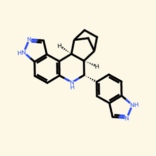 c1cc2[nH]ncc2cc1[C@@H]1Nc2ccc3[nH]ncc3c2[C@H]2C3CCC(C3)[C@@H]12